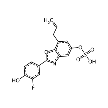 C=CCc1cc(OS(=O)(=O)O)cc2nc(-c3ccc(O)c(F)c3)oc12